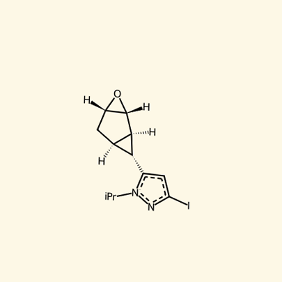 CC(C)n1nc(I)cc1[C@@H]1[C@H]2C[C@@H]3O[C@@H]3[C@H]21